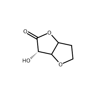 O=C1OC2CCOC2[C@@H]1O